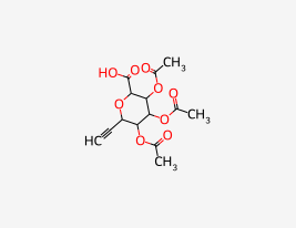 C#CC1OC(C(=O)O)C(OC(C)=O)C(OC(C)=O)C1OC(C)=O